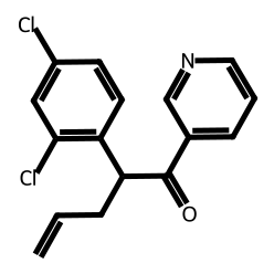 C=CCC(C(=O)c1cccnc1)c1ccc(Cl)cc1Cl